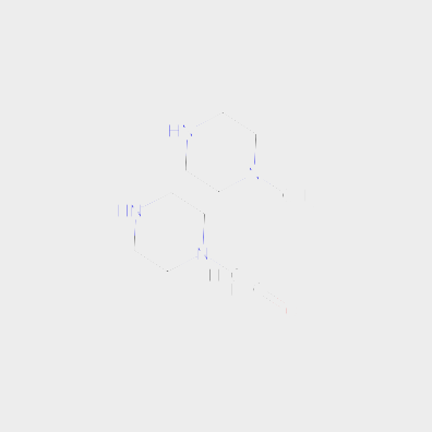 C=O.CN1CCNCC1.CN1CCNCC1